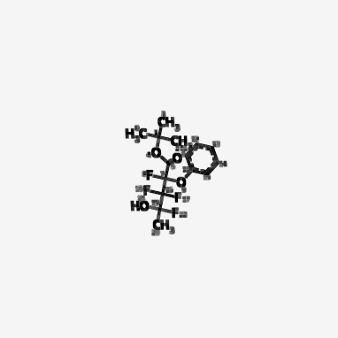 CC(C)(C)OC(=O)C(F)(Oc1ccccc1)C(F)(F)C(C)(O)F